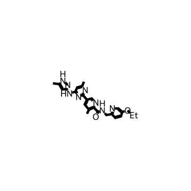 CCOc1ccc(CNC(=O)c2ncc(-c3nc(C)cc(Nc4cc(C)[nH]n4)n3)cc2C)nc1